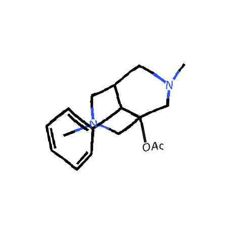 CC(=O)OC12CN(C)CC(CN(C)C1)C2c1ccccc1